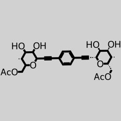 CC(=O)OCC1[CH]C(O)C(O)C(C#Cc2ccc(C#C[C@H]3O[C@@H](COC(C)=O)[CH][C@@H](O)[C@@H]3O)cc2)O1